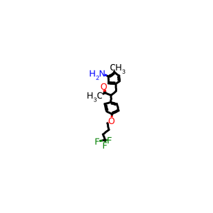 CC(=O)C(Cc1ccc(C)c(N)c1)c1ccc(OCCCC(F)(F)F)cc1